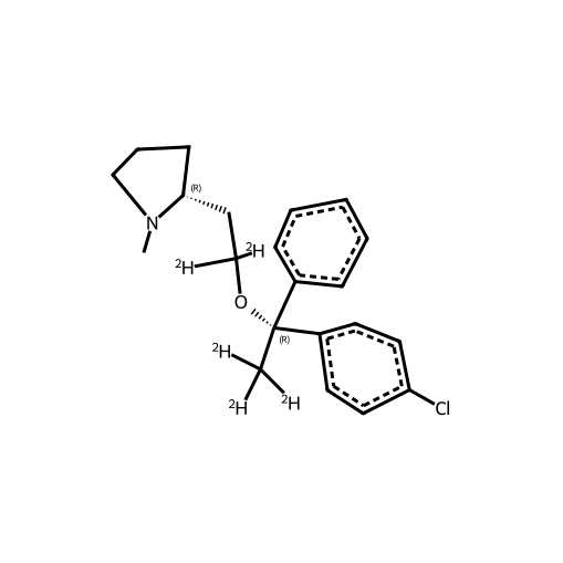 [2H]C([2H])(C[C@H]1CCCN1C)O[C@](c1ccccc1)(c1ccc(Cl)cc1)C([2H])([2H])[2H]